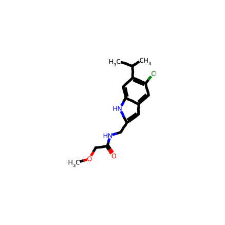 COCC(=O)NCc1cc2cc(Cl)c(C(C)C)cc2[nH]1